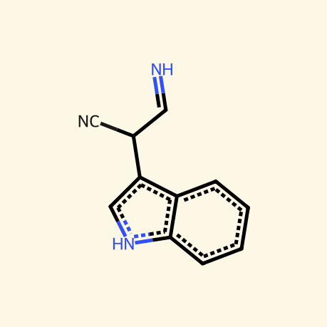 N#CC(C=N)c1c[nH]c2ccccc12